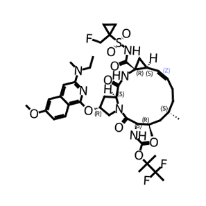 CCN(C)c1cc2cc(OC)ccc2c(O[C@@H]2C[C@H]3C(=O)N[C@]4(C(=O)NS(=O)(=O)C5(CF)CC5)C[C@H]4/C=C\CC[C@H](C)C[C@@H](C)[C@H](NC(=O)OC(C)(C)C(C)(F)F)C(=O)N3C2)n1